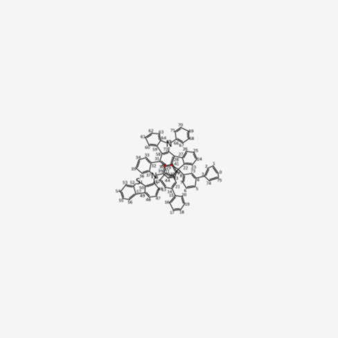 c1ccc(-c2cccc(C3(c4cccc(-c5ccccc5)c4)c4ccccc4-c4c3cc(-c3ccccc3N(c3ccccc3)c3cccc5c3sc3ccccc35)c3c5ccccc5n(-c5ccccc5)c43)c2)cc1